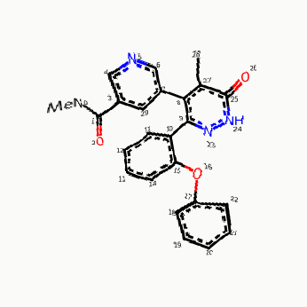 CNC(=O)c1cncc(-c2c(-c3ccccc3Oc3ccccc3)n[nH]c(=O)c2C)c1